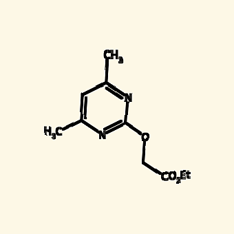 CCOC(=O)COc1nc(C)cc(C)n1